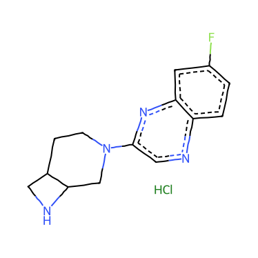 Cl.Fc1ccc2ncc(N3CCC4CNC4C3)nc2c1